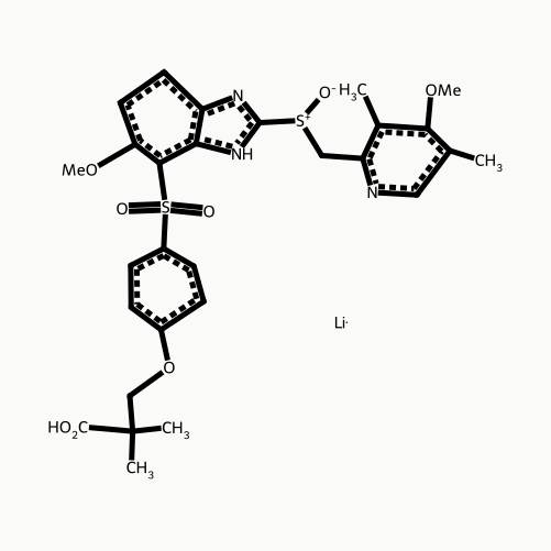 COc1ccc2nc([S+]([O-])Cc3ncc(C)c(OC)c3C)[nH]c2c1S(=O)(=O)c1ccc(OCC(C)(C)C(=O)O)cc1.[Li]